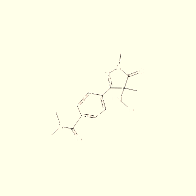 CN(C)C(=O)c1ccc(C2=NN(C)C(=O)C2(C)NO)cc1